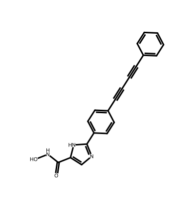 O=C(NO)c1cnc(-c2ccc(C#CC#Cc3ccccc3)cc2)[nH]1